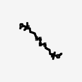 CO[Si](C)(C)CCCSSSSCCC[Si](C)(C)OC